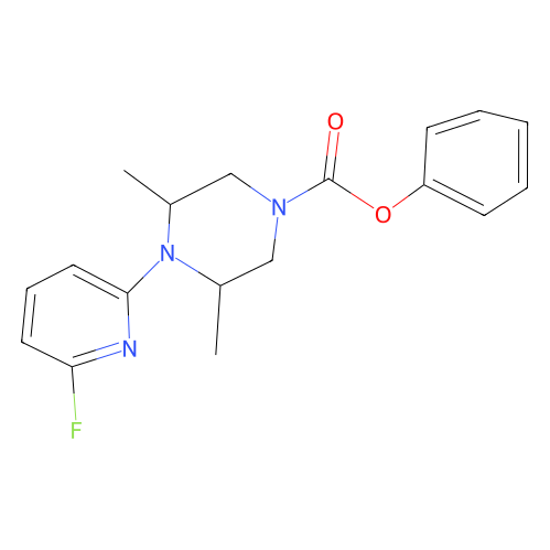 CC1CN(C(=O)Oc2ccccc2)CC(C)N1c1cccc(F)n1